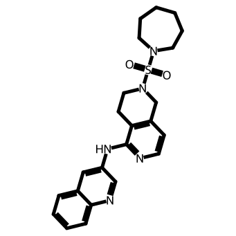 O=S(=O)(N1CCCCCC1)N1CCc2c(ccnc2Nc2cnc3ccccc3c2)C1